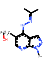 CCO.CCOC(=O)c1cnc2c(cnn2CC)c1NN=C(C)C